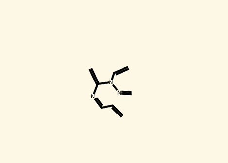 C=C/C=N\C(=C)N(C=C)N=C